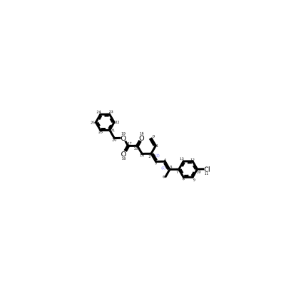 C=C/C(=C\C=C(/C)c1ccc(Cl)cc1)CC(=O)C(=O)OCc1ccccc1